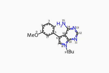 COc1cccc(-c2cn(C(C)(C)C)c3ncnc(N)c23)c1